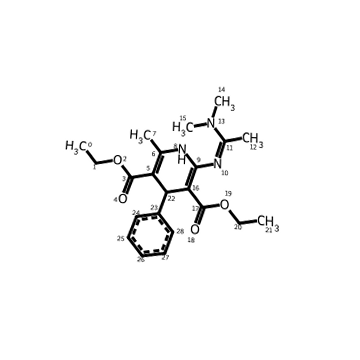 CCOC(=O)C1=C(C)NC(N=C(C)N(C)C)=C(C(=O)OCC)C1c1ccccc1